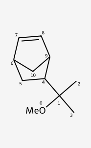 COC(C)(C)C1CC2C=CC1C2